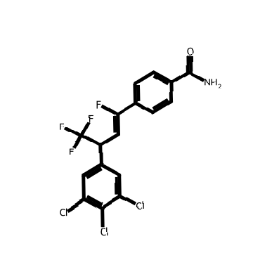 NC(=O)c1ccc(/C(F)=C/C(c2cc(Cl)c(Cl)c(Cl)c2)C(F)(F)F)cc1